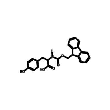 O=C(O)C(Cc1ccc(O)cc1)N(I)C(=O)OCC1c2ccccc2-c2ccccc21